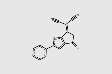 N#CC(C#N)=C1CC(=O)c2cc(-c3ccccc3)sc21